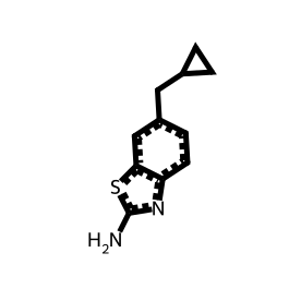 Nc1nc2ccc(CC3CC3)cc2s1